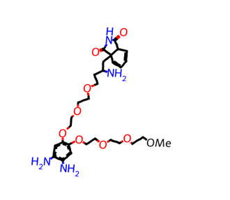 COCCOCCOCCOc1cc(N)c(N)cc1OCCOCCOCCC(N)CC12C=CC=CC1C(=O)NC2=O